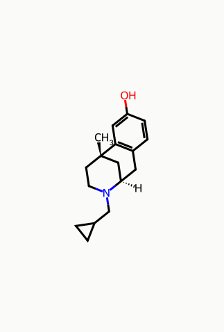 C[C@@]12CCN(CC3CC3)[C@H](Cc3ccc(O)cc31)C2